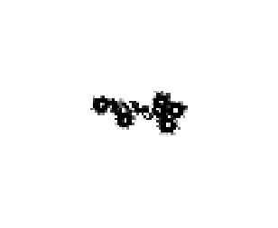 c1ccc(CN(CCOCCOCC[PH](c2ccccc2)(c2ccccc2)c2ccccc2)Cc2ccccc2)cc1